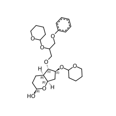 O[C@H]1CC[C@H]2[C@H](OCC(COc3ccccc3)OC3CCCCO3)[C@@H](OC3CCCCO3)C[C@H]2O1